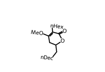 CCCCCCCCCCCC1CC(OC)=C(CCCCCC)C(=O)O1